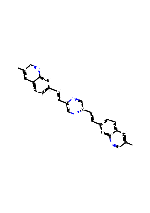 Cc1cnc2cc(/C=C/c3cnc(/C=C/c4ccc5cc(C)cnc5c4)cn3)ccc2c1